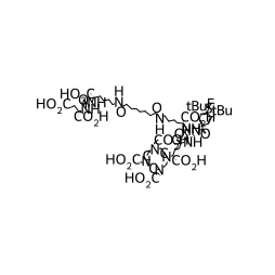 CC(C)(C)[Si](F)(c1ccc(C(=O)NC[C@H](NC(=O)CC[C@H](C(=O)O)N2CCN(CC(=O)O)CCN(CC(=O)O)CCN(CC(=O)O)CC2)C(=O)N[C@H](CCCCNC(=O)CCCCCCC(=O)NCCCC[C@H](NC(=O)N[C@@H](CCC(=O)O)C(=O)O)C(=O)O)C(=O)O)cc1)C(C)(C)C